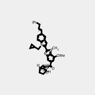 COc1cc(C(=O)N2C[C@H]3CC[C@@H]2[C@H]3N)cc2nc(-c3cc4cc(/C=C/CC(C)C)ccc4n3CC3CC3)n(C)c12